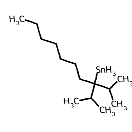 CCCCCCC[C]([SnH3])(C(C)C)C(C)C